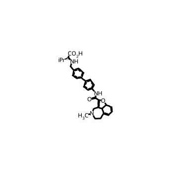 CC(C)[C@H](NCc1ccc(-c2ccc(NC(=O)C3=C4CN(C)CCC5=CC=CC(O3)C54)cc2)cc1)C(=O)O